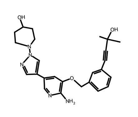 CC(C)(O)C#Cc1cccc(COc2cc(-c3cnn(N4CCC(O)CC4)c3)cnc2N)c1